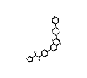 O=C(Nc1ccc(-c2ccc3ncc(N4CCN(c5ccncc5)CC4)nc3c2)cc1)c1ccsc1